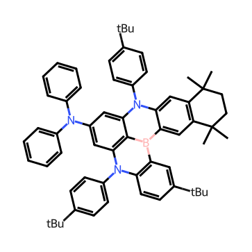 CC(C)(C)c1ccc(N2c3ccc(C(C)(C)C)cc3B3c4cc5c(cc4N(c4ccc(C(C)(C)C)cc4)c4cc(N(c6ccccc6)c6ccccc6)cc2c43)C(C)(C)CCC5(C)C)cc1